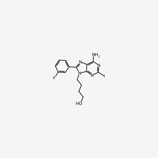 Nc1nc(I)nc2c1nc(-c1cccc(F)c1)n2CCCCO